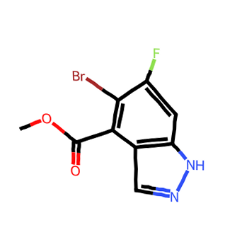 COC(=O)c1c(Br)c(F)cc2[nH]ncc12